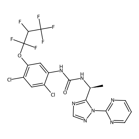 C[C@H](NC(=O)Nc1cc(OC(F)(F)C(F)C(F)(F)F)c(Cl)cc1Cl)c1ncnn1-c1ncccn1